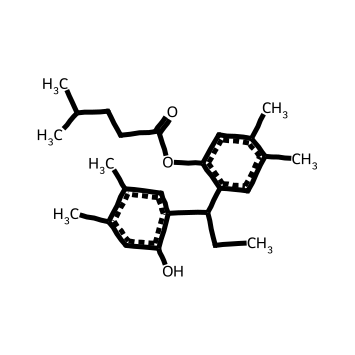 CCC(c1cc(C)c(C)cc1O)c1cc(C)c(C)cc1OC(=O)CCC(C)C